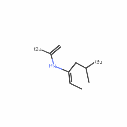 C=C(N/C(=C/C)CC(C)C(C)(C)C)C(C)(C)C